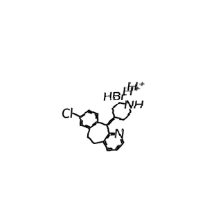 Br.Clc1ccc2c(c1)CCc1cccnc1C2=C1CCNCC1.[H+].[H+]